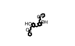 O=C(/C=C/c1cc(Cc2ccc(O)c(/C=C/C(=O)N3CCCCC3)c2)ccc1O)N1CCCCC1